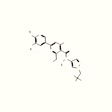 CCc1nc(-c2cnc(OC)c(OC)c2)cc(C)c1C(=O)N(OC)c1cnn(CC(F)(F)F)c1